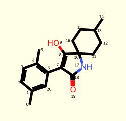 Cc1ccc(C)c(C2=C(O)C3(CCC(C)CC3)NC2=O)c1